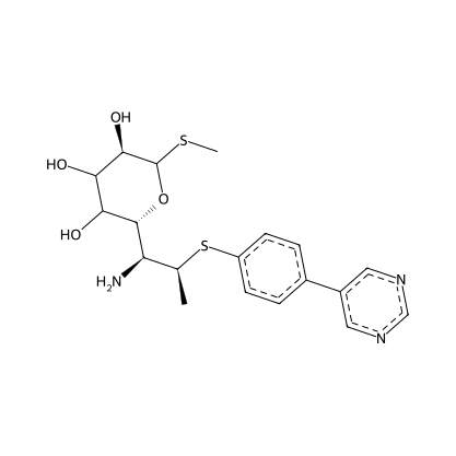 CSC1O[C@H]([C@H](N)[C@H](C)Sc2ccc(-c3cncnc3)cc2)C(O)C(O)[C@H]1O